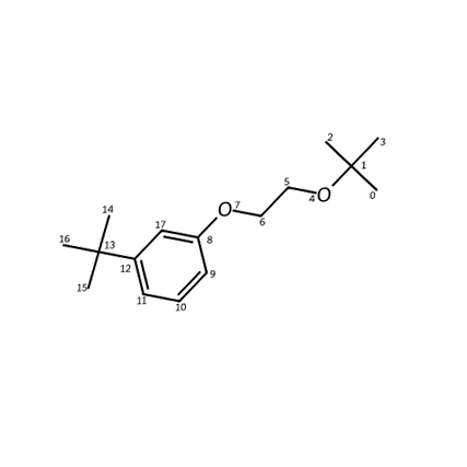 CC(C)(C)OCCOc1cccc(C(C)(C)C)c1